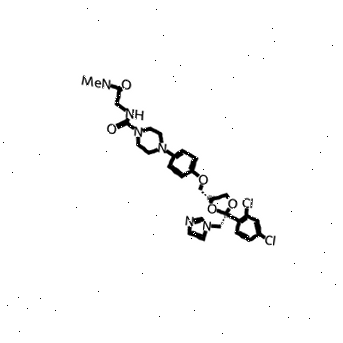 CNC(=O)CNC(=O)N1CCN(c2ccc(OC[C@@H]3CO[C@@](Cn4ccnc4)(c4ccc(Cl)cc4Cl)O3)cc2)CC1